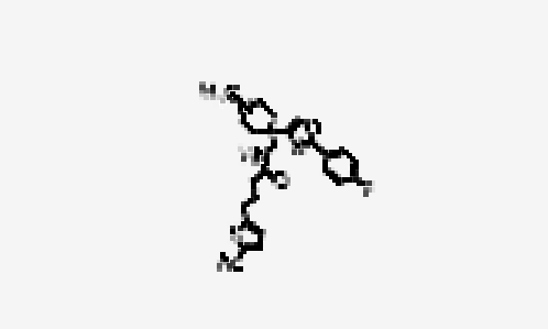 CC(=O)c1ccc(CCCC(=O)NCC2(c3coc(-c4ccc(F)cc4)n3)CCN(C)CC2)s1